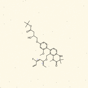 C=C/C(F)=C\C(=C\C)OCc1c(-c2ccc(OCC(O)CC(=O)OC(C)(C)C)cc2OC)ccc2c1N(C)C(=O)C(C)(C)N2